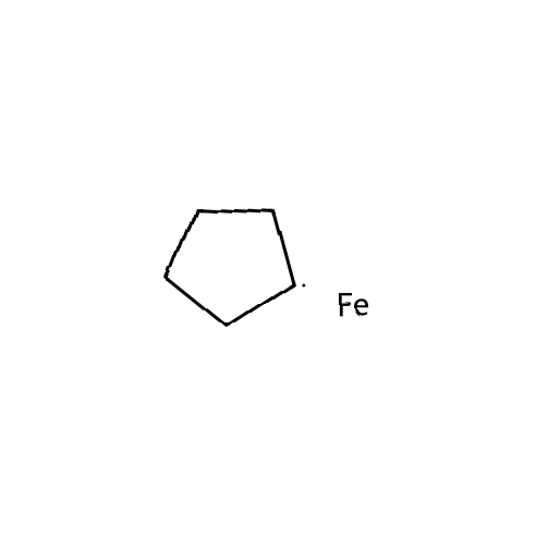 [CH]1CCCC1.[Fe]